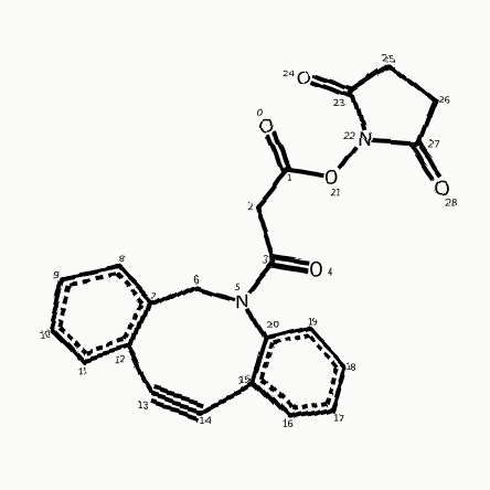 O=C(CC(=O)N1Cc2ccccc2C#Cc2ccccc21)ON1C(=O)CCC1=O